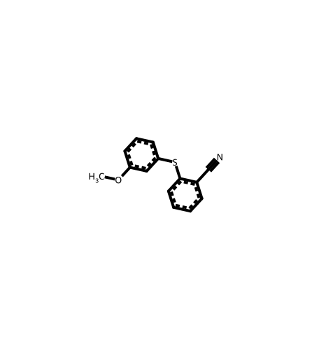 COc1cccc(Sc2ccccc2C#N)c1